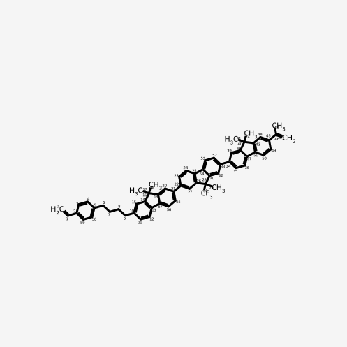 C=Cc1ccc(CCCCc2ccc3c(c2)C(C)(C)c2cc(-c4ccc5c(c4)C(C)(C(F)(F)F)c4cc(-c6ccc7c(c6)C(C)(C)c6cc(C(=C)C)ccc6-7)ccc4-5)ccc2-3)cc1